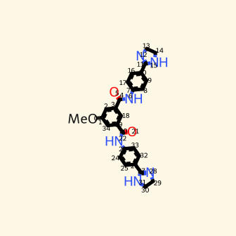 COc1cc(C(=O)Nc2ccc(C3=NCCN3)cc2)cc(C(=O)Nc2ccc(C3=NCCN3)cc2)c1